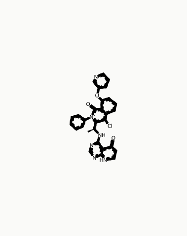 C[C@H](Nc1ncnc2[nH]ccc(=O)c12)c1c(Cl)c2cccc(Oc3cccnc3)c2c(=O)n1-c1ccccc1